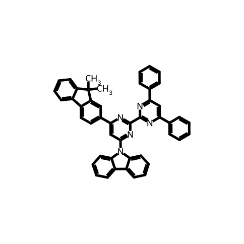 CC1(C)c2ccccc2-c2ccc(-c3cc(-n4c5ccccc5c5ccccc54)nc(-c4nc(-c5ccccc5)cc(-c5ccccc5)n4)n3)cc21